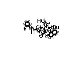 CC(C)(C)C(=O)N1CCCC1C(=O)N[C@H](Cc1ccc2ccccc2c1)C(=O)NCC(O)CNCc1ccccc1F.Cl